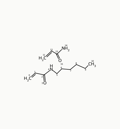 C=CC(=O)NCCCCCC.C=CC(N)=O